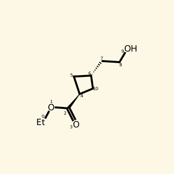 CCOC(=O)[C@H]1C[C@H](CCO)C1